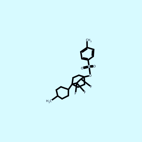 Cc1ccc(S(=O)(=O)OC23CCC(C4CCC(C)CC4)(CC2)C(F)(F)C3F)cc1